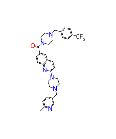 Cc1ccc(CN2CCN(c3ccc4cc(C(=O)N5CCN(Cc6ccc(C(F)(F)F)cc6)CC5)ccc4n3)CC2)cn1